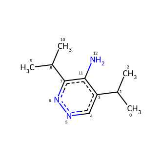 CC(C)c1cnnc(C(C)C)c1N